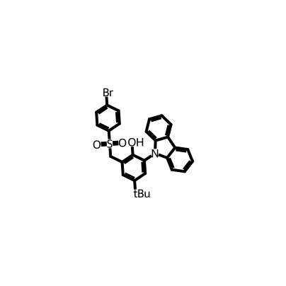 CC(C)(C)c1cc(CS(=O)(=O)c2ccc(Br)cc2)c(O)c(-n2c3ccccc3c3ccccc32)c1